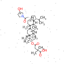 C=C(C)C1CC[C@]2(CC(=O)N3CC[C@@H](O)C3)CC[C@]3(C)[C@H](CC[C@@H]4[C@@]5(C)CC[C@H](OC(=O)CC(C)(C)C(=O)O)C(C)(C)[C@@H]5CC[C@]43C)[C@@H]12